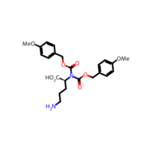 COc1ccc(COC(=O)N(C(=O)OCc2ccc(OC)cc2)[C@@H](CCCN)C(=O)O)cc1